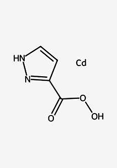 O=C(OO)c1cc[nH]n1.[Cd]